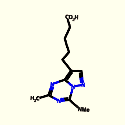 CNc1nc(C)nc2c(CCCCC(=O)O)cnn12